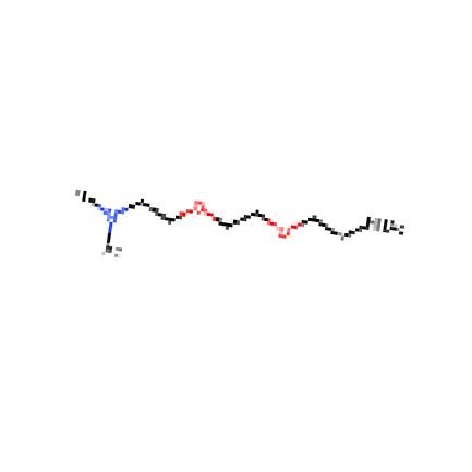 CCN(CCOCCOCCNC(C)=O)C(C)=O